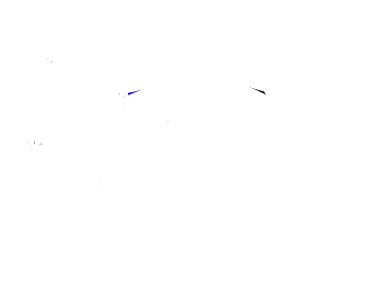 COc1ccnc(C(=O)N[C@H]2COC[C@H](Cc3ccc(Cl)cc3)[C@@H](Cc3ccc(OC(F)(F)F)cc3)[C@H](C)OC2=O)c1OCOC(C)=O